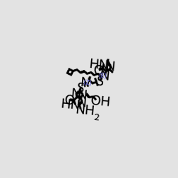 C/C(CC(C)(C)S/C(CCCCC=CCC1CCC1)=N/c1c(C)nc(C)[nH]c1=O)=N/CSc1nc2c(=O)[nH]c(N)nc2n1C=CCO